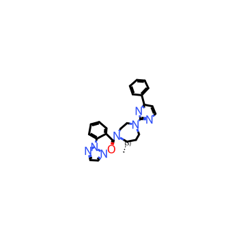 C[C@H]1CCN(c2nccc(-c3ccccc3)n2)CCN1C(=O)c1ccccc1-n1nccn1